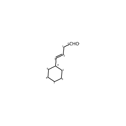 O=[C]CC=CC1CCCCC1